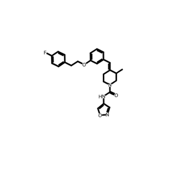 CC1CN(C(=O)Nc2cnoc2)CCC1=Cc1cccc(OCCc2ccc(F)cc2)c1